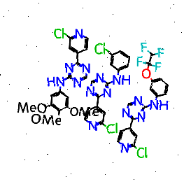 COc1cc(Nc2ncnc(-c3ccnc(Cl)c3)n2)cc(OC)c1OC.Clc1cccc(Nc2ncnc(-c3ccnc(Cl)c3)n2)c1.FC(F)C(F)(F)Oc1cccc(Nc2ncnc(-c3ccnc(Cl)c3)n2)c1